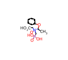 CC(Oc1ccccc1)[N+]([O-])(CC(=O)O)CP(=O)(O)O